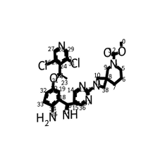 COC(=O)N1CCCC2(C1)CN(c1ncc(C(=N)c3cc(O[C@H](C)c4c(Cl)cncc4Cl)ccc3N)cn1)C2